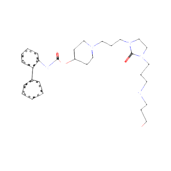 O=C(Nc1ccccc1-c1ccccc1)OC1CCN(CCCN2CCN(CCCNCCCO)C2=O)CC1